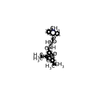 C/C1=C/C2=C(C=CCC2)C(OCC(=O)NCCNC(=O)c2ccc3c(c2)C(=O)OC32c3ccc(N(C)C)cc3Oc3cc(N(C)C)ccc32)Cc2ccccc21